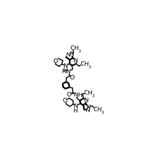 CCc1nc2c(cnn2CC)c(NC2CCOCC2)c1CNC(=O)Cc1cccc(CC(=O)NCc2c(CC)nc3c(cnn3CC)c2NC2CCOCC2)c1